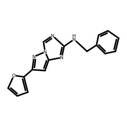 c1ccc(CNc2ncn3nc(-c4ccco4)cc3n2)cc1